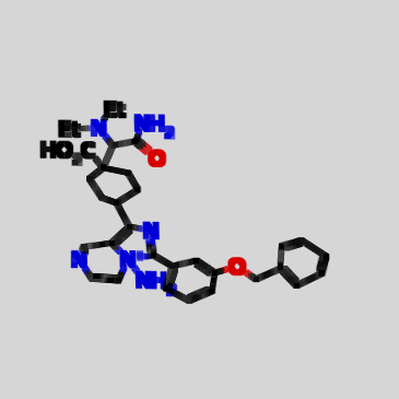 CCN(CC)C(C(N)=O)C1(C(=O)O)CCC(C2=C3C=NC=C[N+]3(N)C(c3cccc(OCc4ccccc4)c3)=N2)CC1